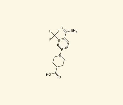 NC(=O)c1ccc(N2CCC(C(=O)O)CC2)cc1C(F)(F)F